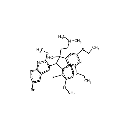 CCSc1cc(C(O)(CCN(C)C)C(c2cc3cc(Br)ccc3nc2OC)c2cccc(OC)c2F)cc(SCC)n1